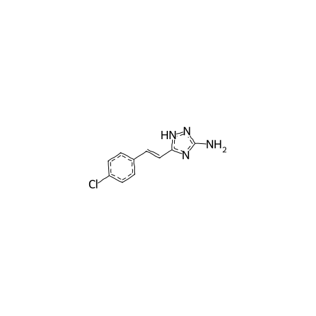 Nc1n[nH]c(C=Cc2ccc(Cl)cc2)n1